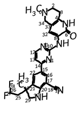 CN1CCc2[nH]c(=O)c(Nc3nccc(-c4cc(C#N)c5c(c4)C(C)(CC(F)F)CN5)n3)cc2C1